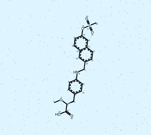 CO[C@@H](Cc1ccc(NCc2ccc3cc(OS(C)(=O)=O)ccc3c2)cc1)C(=O)O